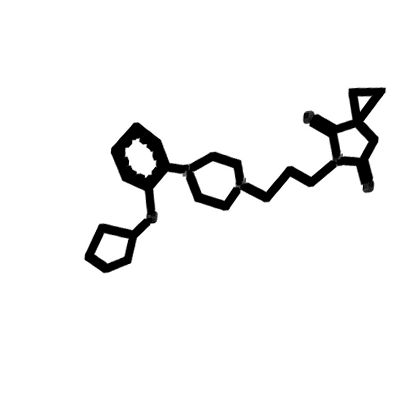 O=C1CC2(CC2)C(=O)N1CCCN1CCN(c2ccccc2OC2CCCC2)CC1